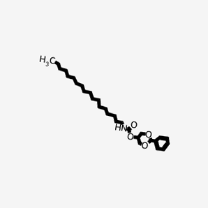 CCCCCCCCCCCCCCCCCCNC(=O)OC1COC(c2ccccc2)OC1